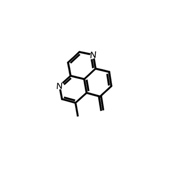 C=c1ccc2nccc3ncc(C)c1c23